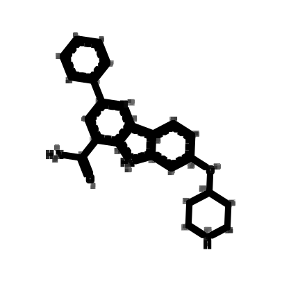 NC(=O)c1cc(-c2ccccc2)nc2c1[nH]c1cc(OC3CCNCC3)ccc12